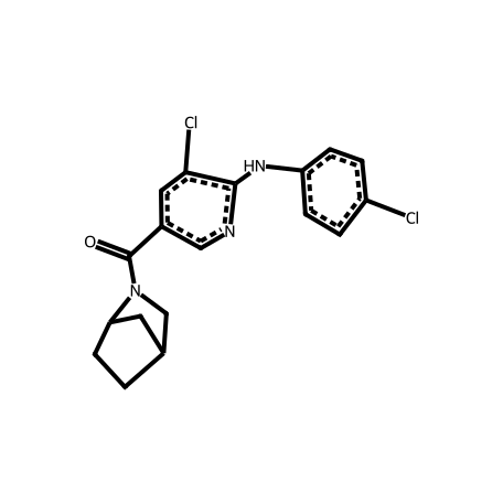 O=C(c1cnc(Nc2ccc(Cl)cc2)c(Cl)c1)N1CC2CCC1C2